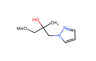 COCC(C)(O)Cn1cccn1